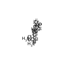 COc1cc(OC)c(Cl)c(-c2ccc3nc(NC4CCCC4N4C(=O)c5ccccc5C4=O)ncc3c2)c1Cl